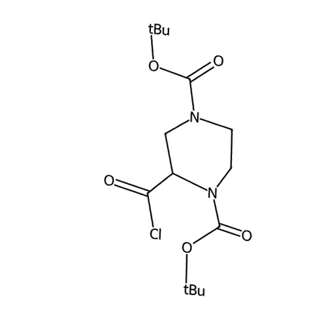 CC(C)(C)OC(=O)N1CCN(C(=O)OC(C)(C)C)C(C(=O)Cl)C1